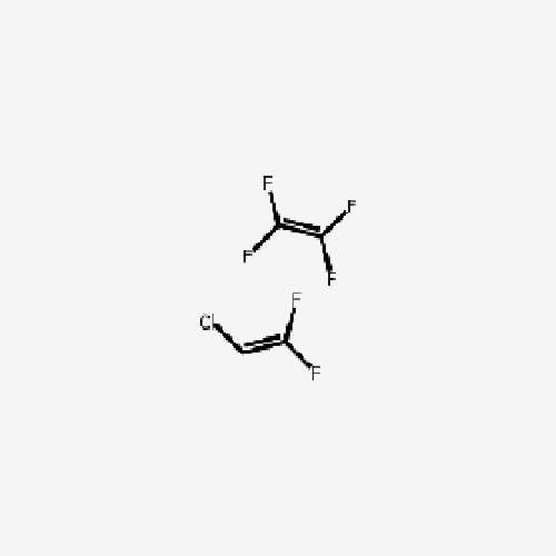 FC(F)=C(F)F.FC(F)=CCl